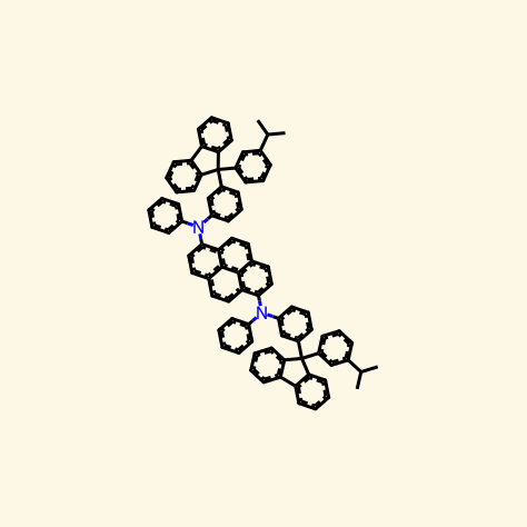 CC(C)c1cccc(C2(c3cccc(N(c4ccccc4)c4ccc5ccc6c(N(c7ccccc7)c7cccc(C8(c9cccc(C(C)C)c9)c9ccccc9-c9ccccc98)c7)ccc7ccc4c5c76)c3)c3ccccc3-c3ccccc32)c1